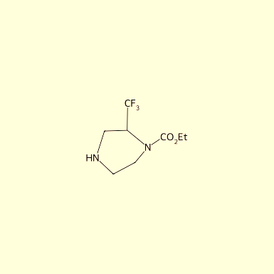 CCOC(=O)N1CCNCC1C(F)(F)F